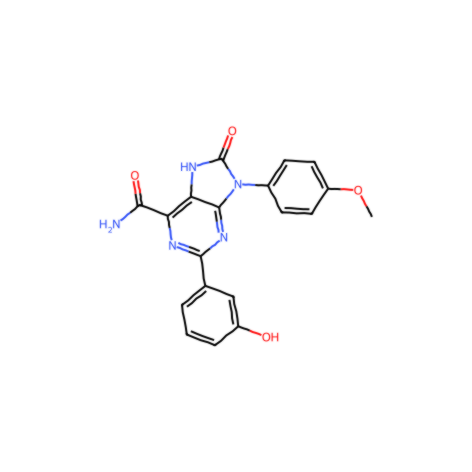 COc1ccc(-n2c(=O)[nH]c3c(C(N)=O)nc(-c4cccc(O)c4)nc32)cc1